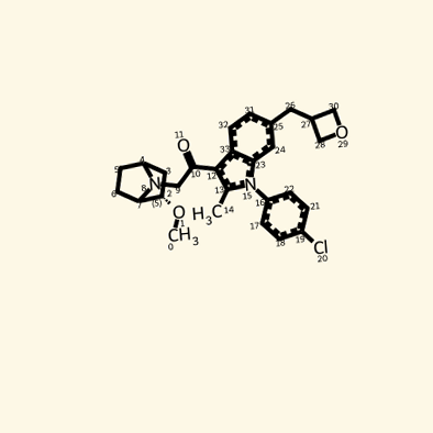 CO[C@H]1CC2CCC1N2CC(=O)c1c(C)n(-c2ccc(Cl)cc2)c2cc(CC3COC3)ccc12